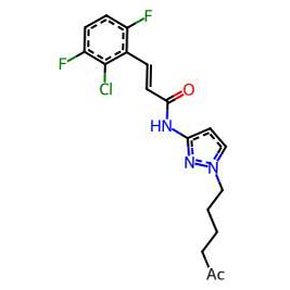 CC(=O)CCCCn1ccc(NC(=O)/C=C/c2c(F)ccc(F)c2Cl)n1